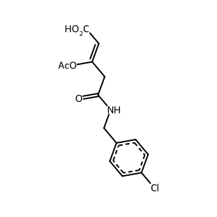 CC(=O)O/C(=C\C(=O)O)CC(=O)NCc1ccc(Cl)cc1